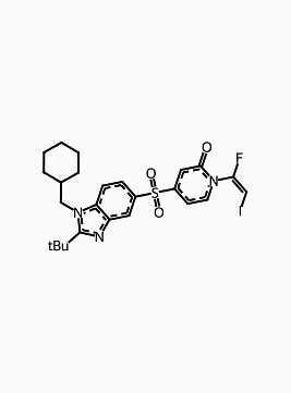 CC(C)(C)c1nc2cc(S(=O)(=O)c3ccn(/C(F)=C\I)c(=O)c3)ccc2n1CC1CCCCC1